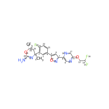 CC1(c2cc(-c3cc(-c4cnc(OCC(F)F)cn4)no3)ccc2F)C[C@@H](C(F)(F)F)OC(N)=N1